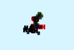 CC(C)(C)OC(=O)N1C[C@H](O)C[C@H]1CCCS(=O)(=O)CCCC(F)(F)F